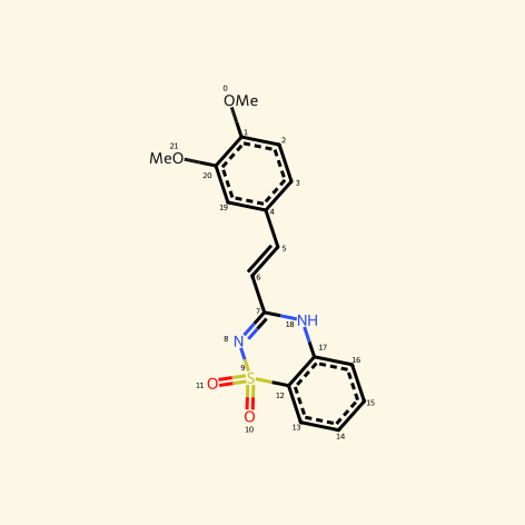 COc1ccc(C=CC2=NS(=O)(=O)c3ccccc3N2)cc1OC